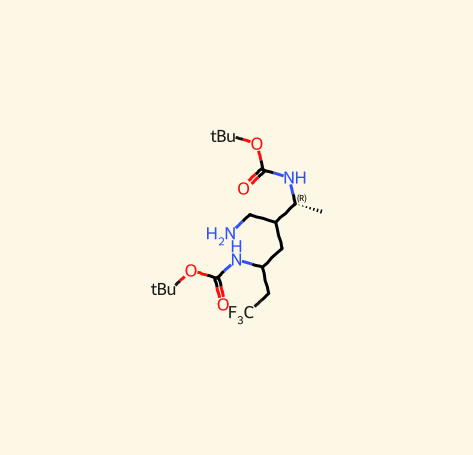 C[C@@H](NC(=O)OC(C)(C)C)C(CN)CC(CC(F)(F)F)NC(=O)OC(C)(C)C